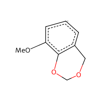 COc1c[c]cc2c1OCOC2